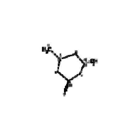 CN1C[C@H](O)C[C@@H](F)C1